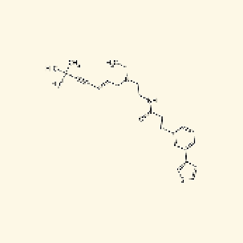 CCN(CC=CC#CC(C)(C)C)CCNC(=O)C=Cc1cccc(-c2ccsc2)c1